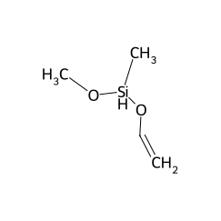 C=CO[SiH](C)OC